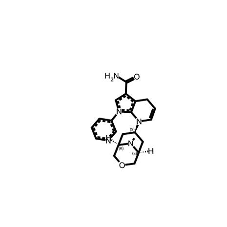 CN1[C@@H]2COC[C@H]1C[C@@H](N1C=CCc3c(C(N)=O)cn(-c4cccnc4)c31)C2